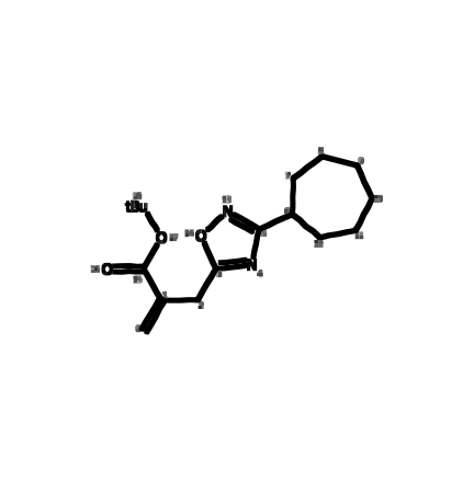 C=C(Cc1nc(C2CCCCCC2)no1)C(=O)OC(C)(C)C